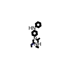 C=CN/C(=C\C)CN(c1ccc(Nc2ccccc2)cc1)C(C)C